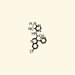 C[C@H](Nc1ncnc(N)c1C#N)c1cnc2cc(Cl)ccc2c1-c1ccccn1